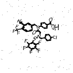 N#Cc1cc(CN(C(=O)CN(Cc2ccc(Cl)cc2)Sc2c(F)c(F)c(F)c(F)c2F)c2ccc(C(=O)O)cc2)ccc1C(F)(F)F